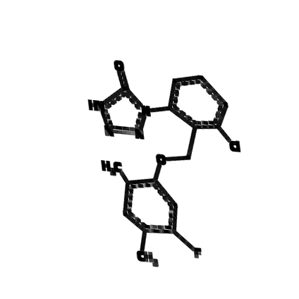 Cc1cc(C)c(OCc2c(Cl)cccc2-n2nn[nH]c2=O)cc1F